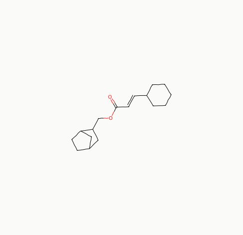 O=C(/C=C/C1CCCCC1)OCC1CC2CCC1C2